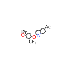 CC(=O)c1ccc2nc(Oc3ccc(OC(C)C)cc3C(F)(F)F)ccc2c1